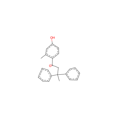 Cc1cc(O)ccc1C(=O)CC(C)(c1ccccc1)c1ccccc1